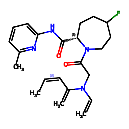 C=CN(CC(=O)N1CCC(F)CC[C@H]1C(=O)Nc1cccc(C)n1)C(=C)/C=C\C